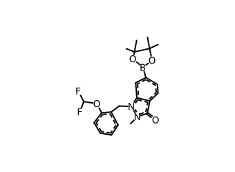 Cn1c(=O)c2ccc(B3OC(C)(C)C(C)(C)O3)cc2n1Cc1ccccc1OC(F)F